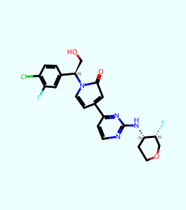 O=c1cc(-c2ccnc(N[C@H]3CCOC[C@H]3F)n2)ccn1[C@H](CO)c1ccc(Cl)c(F)c1